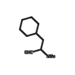 CNC(C=O)CC1CCCCC1